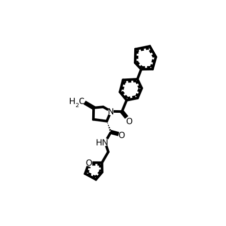 C=C1C[C@@H](C(=O)NCc2ccco2)N(C(=O)c2ccc(-c3ccccc3)cc2)C1